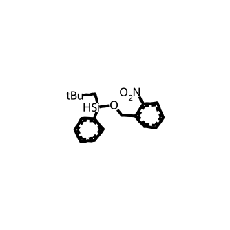 CC(C)(C)C[SiH](OCc1ccccc1[N+](=O)[O-])c1ccccc1